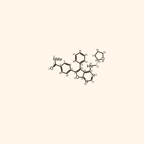 CNC(=O)c1ccc(-c2oc3ncnc(NC[C@@H]4CCCO4)c3c2-c2ccccc2)cc1